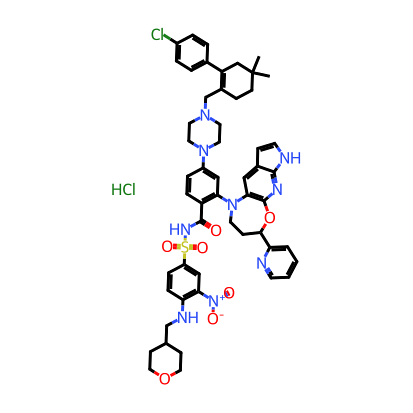 CC1(C)CCC(CN2CCN(c3ccc(C(=O)NS(=O)(=O)c4ccc(NCC5CCOCC5)c([N+](=O)[O-])c4)c(N4CCC(c5ccccn5)Oc5nc6[nH]ccc6cc54)c3)CC2)=C(c2ccc(Cl)cc2)C1.Cl